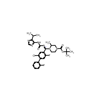 CC(C)c1ncsc1NC(=O)/N=C(\c1cc(Cl)c(-c2ccccc2F)cc1F)N1CCN(C(=O)OC(C)(C)C)CC1C